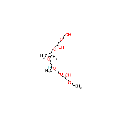 C=CCOCCC(O)COCCCOC(C)(F)CCCOC(C)(C)CCCOCC(O)CCOCCO